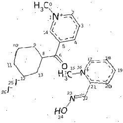 C[n+]1cccc(C(=O)C2CCCCC2)c1.C[n+]1ccccc1C=NO.[I-].[I-]